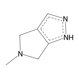 CN1Cc2cn[nH]c2C1